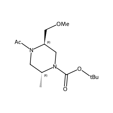 COC[C@H]1CN(C(=O)OC(C)(C)C)[C@H](C)CN1C(C)=O